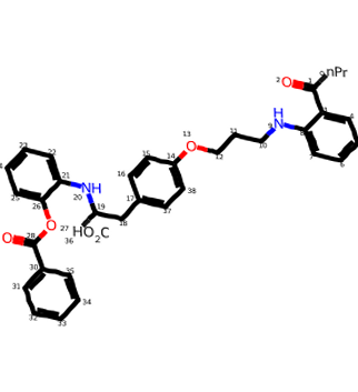 CCCC(=O)c1ccccc1NCCCOc1ccc(CC(Nc2ccccc2OC(=O)c2ccccc2)C(=O)O)cc1